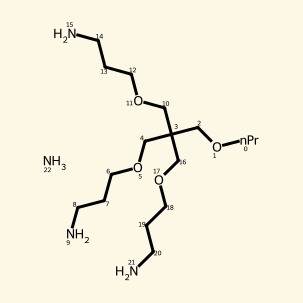 CCCOCC(COCCCN)(COCCCN)COCCCN.N